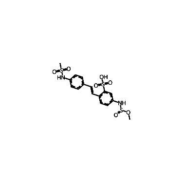 COS(=O)Nc1ccc(C=Cc2ccc(NS(C)(=O)=O)cc2)c(S(=O)(=O)O)c1